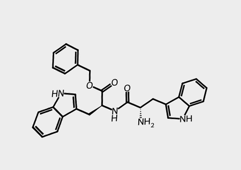 N[C@@H](Cc1c[nH]c2ccccc12)C(=O)N[C@@H](Cc1c[nH]c2ccccc12)C(=O)OCc1ccccc1